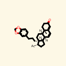 CC(=O)[C@H]1CC[C@H]2[C@@H]3C=CC4=CC(=O)CC[C@@]4(C)[C@@H]3CC[C@]12CCCc1ccc2c(c1)OCO2